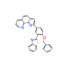 c1ccc(COc2ccc(-c3ccc4ccc5cccnc5c4n3)cc2-c2nc3ccccc3s2)cc1